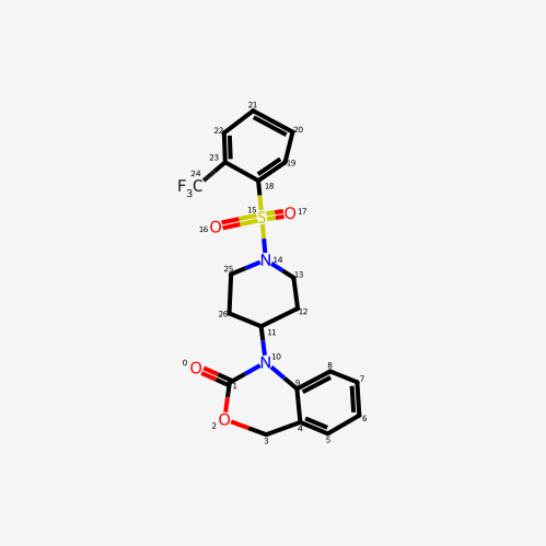 O=C1OCc2ccccc2N1C1CCN(S(=O)(=O)c2ccccc2C(F)(F)F)CC1